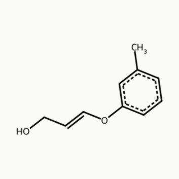 Cc1cccc(OC=CCO)c1